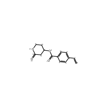 C=Cc1ccc(C(=O)OC2CCOC(=O)C2)cc1